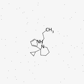 CCCCN1CCCCC1(c1ccc[nH]1)C1CC1